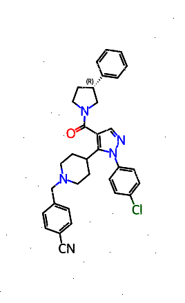 N#Cc1ccc(CN2CCC(c3c(C(=O)N4CC[C@H](c5ccccc5)C4)cnn3-c3ccc(Cl)cc3)CC2)cc1